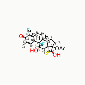 CC(=O)O[C@]1(C(O)=S)[C@@H](C)C[C@H]2[C@@H]3CCC4=C(F)C(=O)C(C)=C[C@]4(C)[C@@]3(F)[C@@H](O)C[C@@]21C